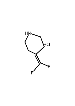 Cl.FC(F)=C1CCNCC1